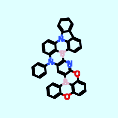 c1ccc(N2c3cc4c(nc3B3c5c2cccc5-n2c5ccccc5c5cccc3c52)Oc2cccc3c2B4c2ccccc2O3)cc1